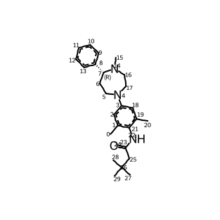 Cc1cc(N2CC[C@H](c3ccccc3)N(C)CC2)cc(C)c1NC(=O)CC(C)(C)C